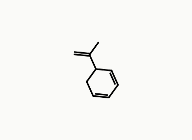 C=C(C)[C]1C=CC=CC1